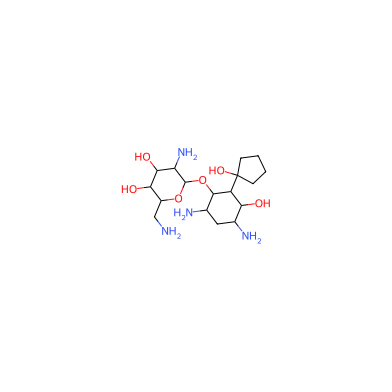 NCC1OC(OC2C(N)CC(N)C(O)C2C2(O)CCCC2)C(N)C(O)C1O